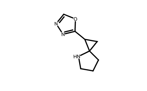 c1nnc(C2CC23CCCN3)o1